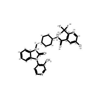 Cc1cnccc1-n1c(=O)n(C[C@H]2CC[C@H](NC(=O)c3cc(Cl)cnc3C(F)(F)F)CC2)c2ccccc21